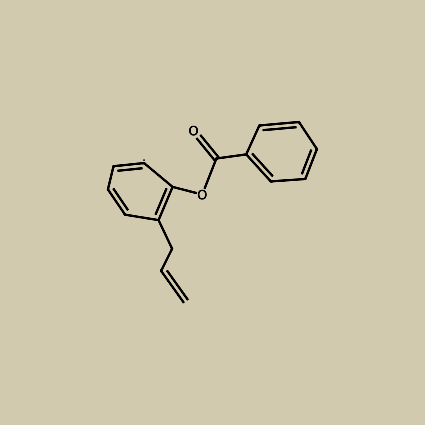 C=CCc1ccc[c]c1OC(=O)c1ccccc1